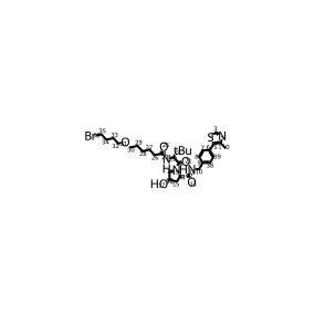 Cc1ncsc1-c1ccc(CNC(=O)[C@@H]2C[C@@H](O)CN2C(=O)C(NC(=O)CCCCCOCCCCBr)C(C)(C)C)cc1